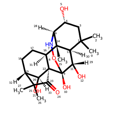 CC1(C)C[C@@H](O)[C@@H]2NO[C@]3(O)[C@@H](O)[C@H]1[C@]2(C)[C@@H]1CC[C@@H]2[C@H](O)[C@@]13C(=O)C2(C)C